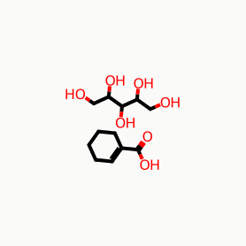 O=C(O)C1=CCCCC1.OCC(O)C(O)C(O)CO